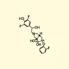 Oc1c(F)cc(C(O)CN2C[C@@H]3C[C@@H](Oc4ccccc4F)[C@@H](O)[C@]3(O)C2)cc1F